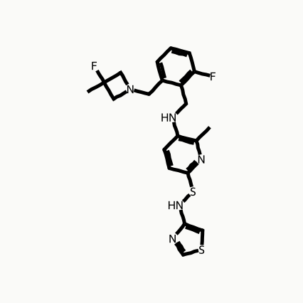 Cc1nc(SNc2cscn2)ccc1NCc1c(F)cccc1CN1CC(C)(F)C1